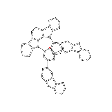 c1ccc(-n2c3ccccc3c3ccc4c5ccccc5n(-c5cc(-c6ccc7oc8ccccc8c7c6)nc(-c6ccc7oc8ccccc8c7c6)c5)c4c32)cc1